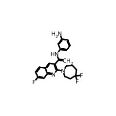 C=C(Nc1cccc(N)c1)c1cc2ccc(F)cc2nc1N1CCCC(F)(F)CC1